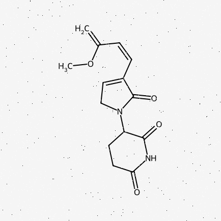 C=C(/C=C\C1=CCN(C2CCC(=O)NC2=O)C1=O)OC